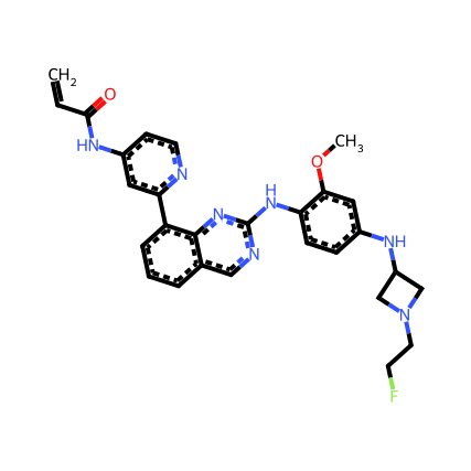 C=CC(=O)Nc1ccnc(-c2cccc3cnc(Nc4ccc(NC5CN(CCF)C5)cc4OC)nc23)c1